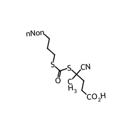 CCCCCCCCCCCCSC(=O)SC(C)(C#N)CCC(=O)O